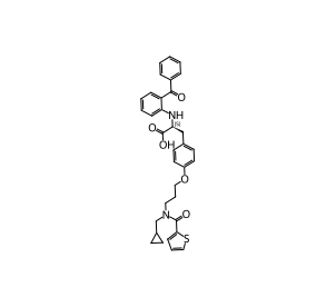 O=C(c1ccccc1)c1ccccc1N[C@@H](Cc1ccc(OCCCN(CC2CC2)C(=O)c2cccs2)cc1)C(=O)O